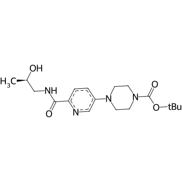 C[C@@H](O)CNC(=O)c1ccc(N2CCN(C(=O)OC(C)(C)C)CC2)cn1